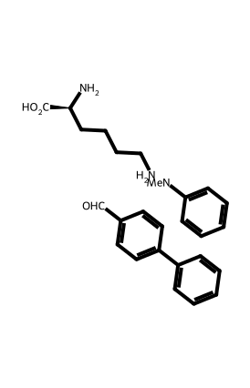 CNc1ccccc1.NCCCC[C@H](N)C(=O)O.O=Cc1ccc(-c2ccccc2)cc1